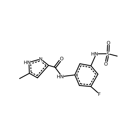 Cc1cc(C(=O)Nc2cc(F)cc(NS(C)(=O)=O)c2)n[nH]1